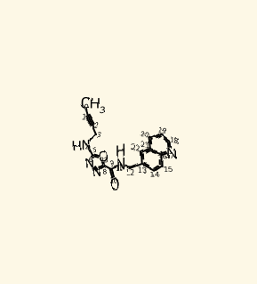 CC#CCNc1nnc(C(=O)NCc2ccc3ncccc3c2)o1